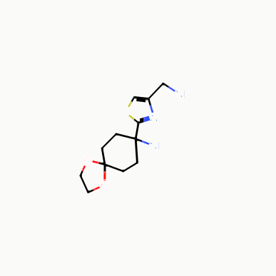 NCc1csc(C2(N)CCC3(CC2)OCCO3)n1